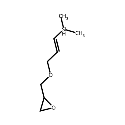 C[SiH](C)C=CCOCC1CO1